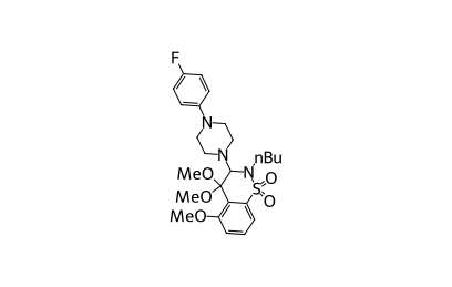 CCCCN1C(N2CCN(c3ccc(F)cc3)CC2)C(OC)(OC)c2c(OC)cccc2S1(=O)=O